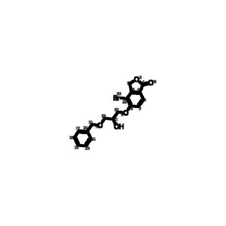 O=C1OCc2c1ccc(OCC(O)COCc1ccccc1)c2Br